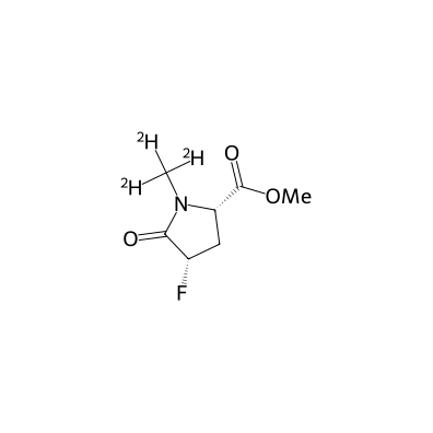 [2H]C([2H])([2H])N1C(=O)[C@@H](F)C[C@H]1C(=O)OC